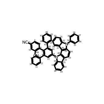 N#Cc1ccc(-c2c(-c3ccccc3)cc(-n3c4ccccc4c4ccc5c(c6ccccc6n5-c5ccccc5)c43)cc2-c2ccccc2)c(C#N)c1